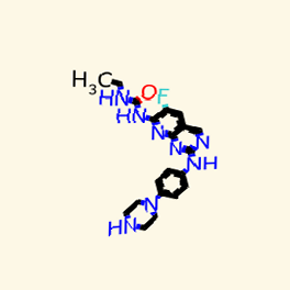 CCNC(=O)Nc1nc2nc(Nc3ccc(N4CCNCC4)cc3)ncc2cc1F